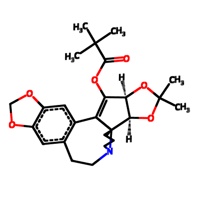 CC1(C)O[C@@H]2C(OC(=O)C(C)(C)C)=C3c4cc5c(cc4CCN4CCC[C@]34[C@@H]2O1)OCO5